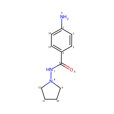 Nc1ccc(C(=O)NN2CCCC2)cc1